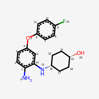 Nc1ccc(Oc2ccc(F)cc2)cc1N[C@H]1CC[C@@H](O)CC1